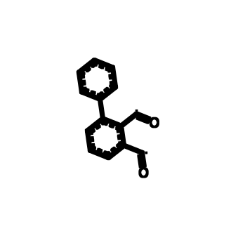 O=[C]c1cccc(-c2ccccc2)c1[C]=O